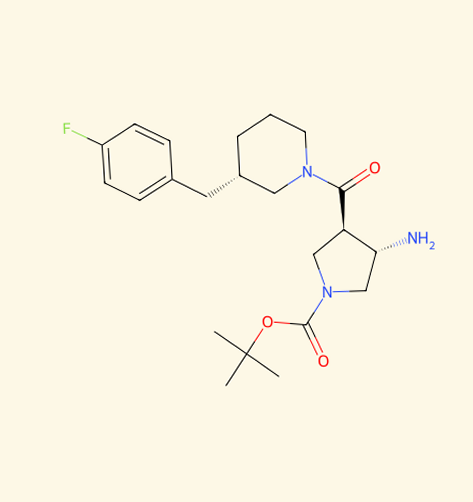 CC(C)(C)OC(=O)N1C[C@@H](N)[C@H](C(=O)N2CCC[C@@H](Cc3ccc(F)cc3)C2)C1